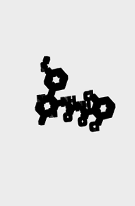 CSc1cccc(-c2ncc(C)nc2NC(=O)NC(=O)c2c(Cl)cccc2Cl)c1